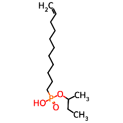 C=CCCCCCCCCCP(=O)(O)OC(C)CC